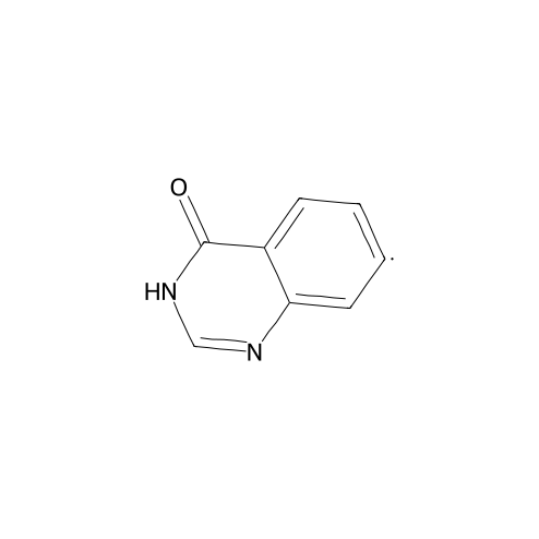 O=c1[nH]cnc2c[c]ccc12